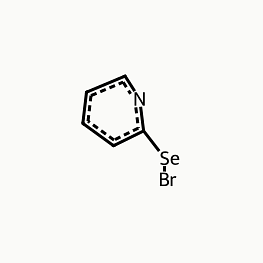 Br[Se]c1ccccn1